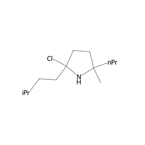 CCCC1(C)CCC(Cl)(CCC(C)C)N1